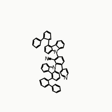 N#Cc1c(-n2c3ccccc3c3c(-c4ccccc4-c4ccccc4)cccc32)ccc(-c2ccncc2)c1-n1c2ccccc2c2c(-c3ccccc3-c3ccccc3)cccc21